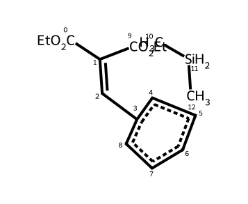 CCOC(=O)C(=Cc1ccccc1)C(=O)OCC.C[SiH2]C